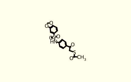 CC(=O)SCC(=O)c1ccc(NS(=O)(=O)c2ccc3c(c2)OCO3)cc1